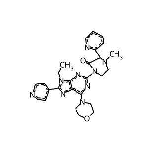 CCn1c(-c2ccncc2)nc2c(N3CCOCC3)nc(N3CCN(C)C(c4ccccn4)C3=O)nc21